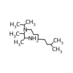 CC(C)CCCCCCN(C(C)C)C(C)C(C)N